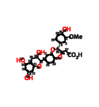 COc1cc([C@H]2Oc3cc(C4Oc5cc(O)cc(O)c5CC4O)ccc3O[C@@H]2CC(=O)O)ccc1O